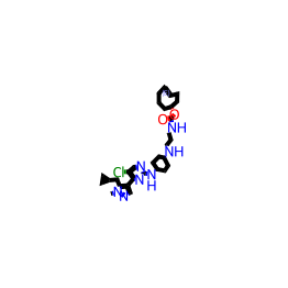 Cn1ncc(-c2nc(N[C@H]3CC[C@H](NCCCNC(=O)OC4CC/C=C/CCC4)CC3)ncc2Cl)c1CC1CC1